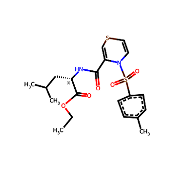 CCOC(=O)[C@H](CC(C)C)NC(=O)C1=CSC=CN1S(=O)(=O)c1ccc(C)cc1